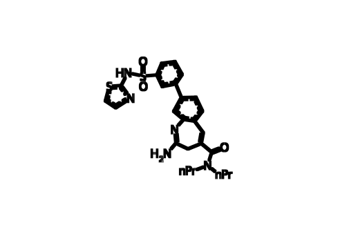 CCCN(CCC)C(=O)C1=Cc2ccc(-c3cccc(S(=O)(=O)Nc4nccs4)c3)cc2N=C(N)C1